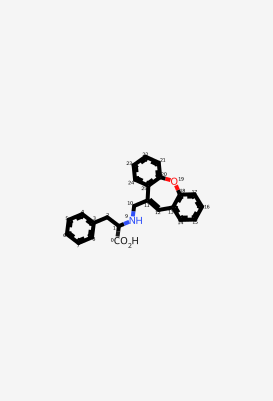 O=C(O)C(Cc1ccccc1)NCC1=Cc2ccccc2Oc2ccccc21